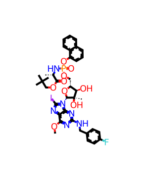 COc1nc(NCc2ccc(F)cc2)nc2c1nc(I)n2[C@@H]1O[C@H](COP(=O)(N[C@@H](C)C(=O)OCC(C)(C)C)Oc2cccc3ccccc23)[C@@H](O)[C@@]1(C)O